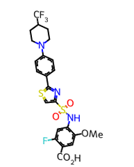 COc1cc(C(=O)O)c(F)cc1NS(=O)(=O)c1csc(-c2ccc(N3CCC(C(F)(F)F)CC3)cc2)n1